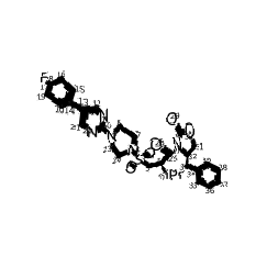 CC(C)[C@@H](CS(=O)(=O)N1CCN(c2ncc(-c3ccc(F)cc3)cn2)CC1)C(=O)N1C(=O)OC[C@H]1Cc1ccccc1